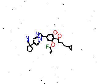 C=CC(F)Oc1cc(-c2cnc3cc(C4(C#N)CCCC4)ccn23)cc(OC)c1C(=O)CCCC1CC1